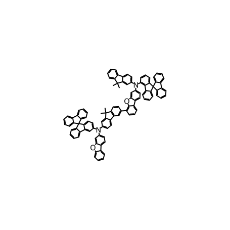 CC1(C)c2ccc(-c3cccc4c3oc3cc(N(c5ccc6c(c5)C(C)(C)c5ccccc5-6)c5cccc6c5-c5ccccc5C65c6ccccc6-c6ccccc65)ccc34)cc2-c2ccc(N(c3ccc4c(c3)-c3ccccc3C43c4ccccc4-c4ccccc43)c3ccc4c(c3)oc3ccccc34)cc21